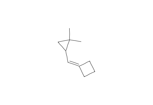 CC1(C)CC1C=C1CCC1